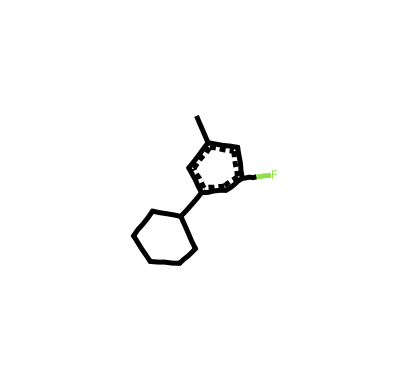 Cc1cc(F)cc(C2CCCCC2)c1